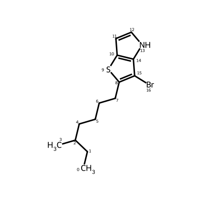 CCC(C)CCCCc1sc2cc[nH]c2c1Br